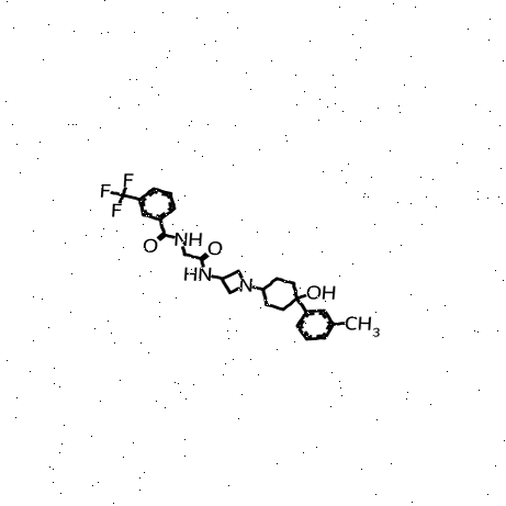 Cc1cccc(C2(O)CCC(N3CC(NC(=O)CNC(=O)c4cccc(C(F)(F)F)c4)C3)CC2)c1